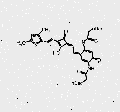 CCCCCCCCCCCC(=O)NC1=C/C(=C/C=C2/C(=O)C(/C=C/c3sc(C)nc3C)=C2O)C(NC(=O)CCCCCCCCCCC)=CC1=O